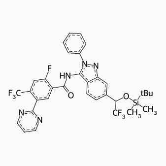 CC(C)(C)[Si](C)(C)OC(c1ccc2c(NC(=O)c3cc(-c4ncccn4)c(C(F)(F)F)cc3F)n(-c3ccccc3)nc2c1)C(F)(F)F